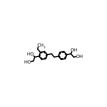 CCc1cc(CCc2ccc(C(O)CO)cc2)ccc1C(O)CO